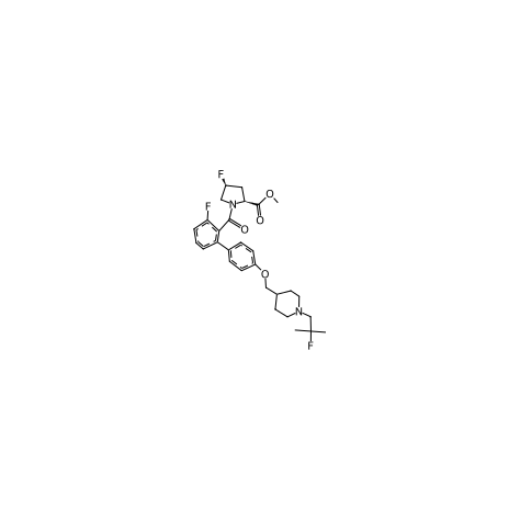 COC(=O)[C@@H]1C[C@H](F)CN1C(=O)c1c(F)cccc1-c1ccc(OCC2CCN(CC(C)(C)F)CC2)cc1